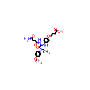 CCN(C(=O)C(NC(=O)CCC(N)=O)Nc1ccc(OCCCC(=O)O)cc1)c1ccc(OC)cc1